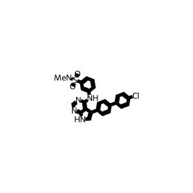 CNS(=O)(=O)c1cccc(Nc2ncnc3[nH]cc(-c4ccc(-c5ccc(Cl)cc5)cc4)c23)c1